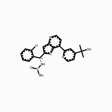 CC(C)(O)c1ccnc(-c2ccnc3cc([C@H](N[S+]([O-])C(C)(C)C)c4ccccc4Cl)sc23)c1